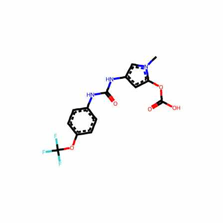 Cn1cc(NC(=O)Nc2ccc(OC(F)(F)F)cc2)cc1OC(=O)O